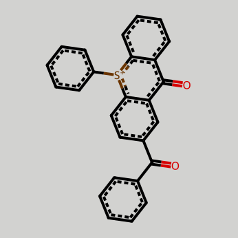 O=C(c1ccccc1)c1ccc2c(c1)c(=O)c1ccccc1[s+]2-c1ccccc1